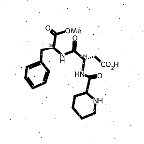 COC(=O)[C@H](Cc1ccccc1)NC(=O)[C@H](CC(=O)O)NC(=O)C1CCCCN1